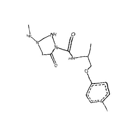 CNN1CC(=O)N(C(=O)NC(C)COc2ccc(C)cc2)N1